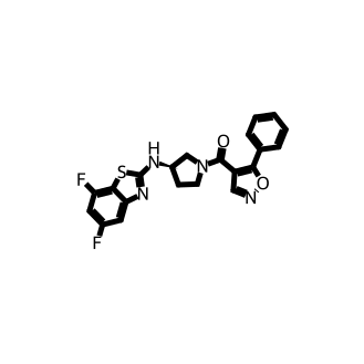 O=C(c1cnoc1-c1ccccc1)N1CC[C@@H](Nc2nc3cc(F)cc(F)c3s2)C1